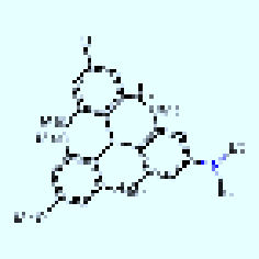 CCN(CC)c1cc(C)c(C(c2c(C)cc(C)cc2OC)c2c(OC)cc(OC)cc2OC)c(OC)c1